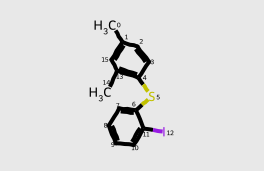 Cc1ccc(Sc2ccccc2I)c(C)c1